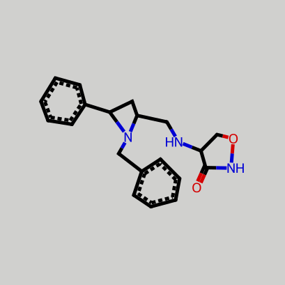 O=C1NOCC1NCC1CC(c2ccccc2)N1Cc1ccccc1